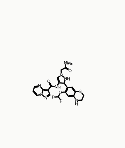 CNC(=O)CN1C=C(NC(=O)c2cnn3cccnc23)C(c2cc3c(cc2OC(F)F)NCCS3)N1